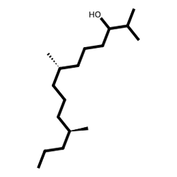 CCC[C@H](C)CCC[C@H](C)CCCC(O)C(C)C